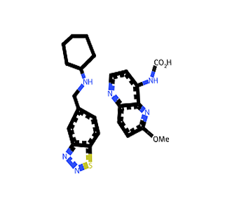 COc1ccc2nccc(NC(=O)O)c2n1.c1cc2snnc2cc1CNC1CCCCC1